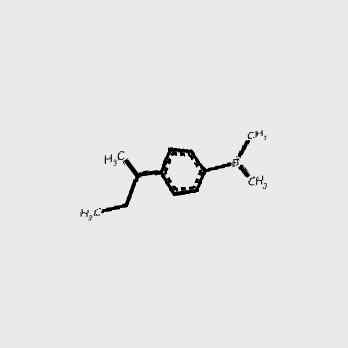 CCC(C)c1ccc(B(C)C)cc1